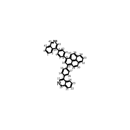 c1ccc2c(-c3ccc(-c4cc(-c5ccc(-c6cncc7ccccc67)cc5)c5ccc6cccc7ccc4c5c76)cc3)cncc2c1